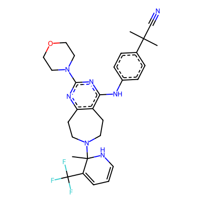 CC(C)(C#N)c1ccc(Nc2nc(N3CCOCC3)nc3c2CCN(C2(C)NC=CC=C2C(F)(F)F)CC3)cc1